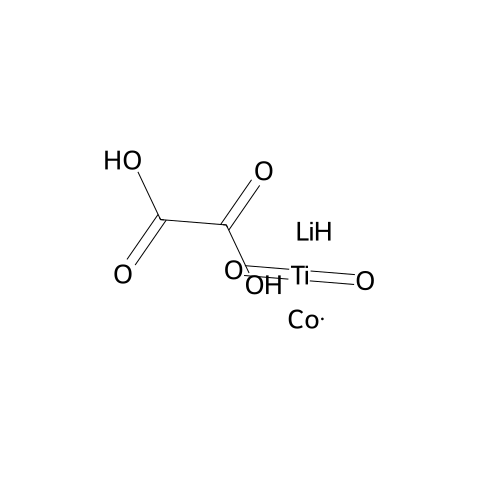 O=C(O)C(=O)O.[Co].[LiH].[O]=[Ti]=[O]